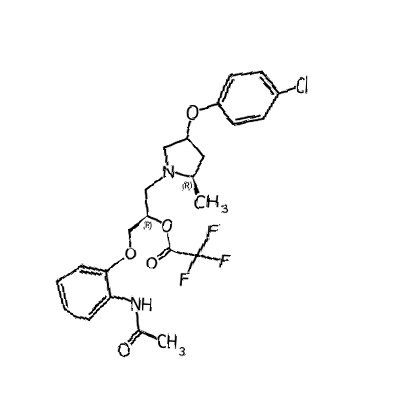 CC(=O)Nc1ccccc1OC[C@@H](CN1CC(Oc2ccc(Cl)cc2)C[C@H]1C)OC(=O)C(F)(F)F